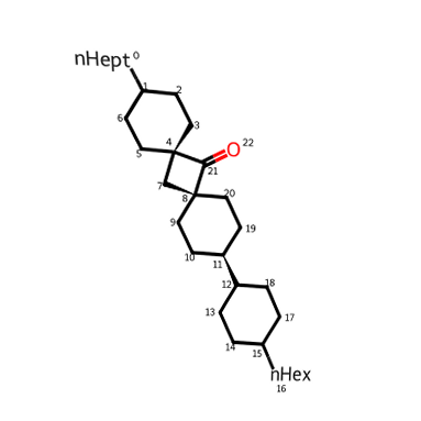 CCCCCCCC1CC[C@]2(CC1)C[C@@]1(CC[C@H](C3CCC(CCCCCC)CC3)CC1)C2=O